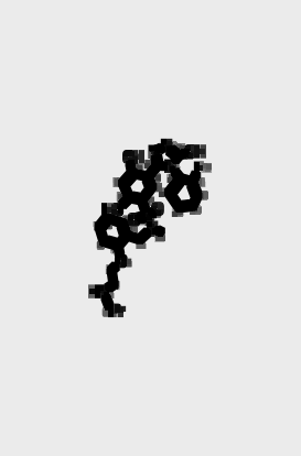 CC(C)NCCOc1ccccc1CN(C)S(=O)(=O)c1cc(-c2nnc(O)n2-c2ccccc2F)c(O)cc1O